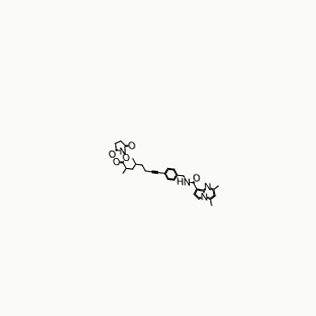 Cc1cc(C)n2ccc(C(=O)NCc3ccc(C#CCCC(C)CC(C)C(=O)ON4C(=O)CCC4=O)cc3)c2n1